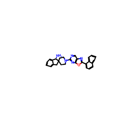 N[C@@H]1c2ccccc2CC12CCN(c1ncc3nc(-c4cccc5ccccc45)oc3n1)CC2